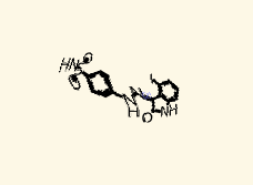 [NH]S(=O)(=O)c1ccc(N/N=C2\C(=O)Nc3cccc(I)c32)cc1